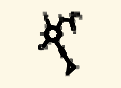 NC(=O)Oc1cc(C#CC2CC2)c(Cl)cc1F